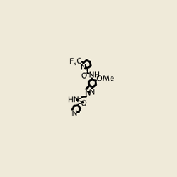 COc1cc2nn(CCS(=N)(=O)c3ccncc3)cc2cc1NC(=O)c1cccc(C(F)(F)F)n1